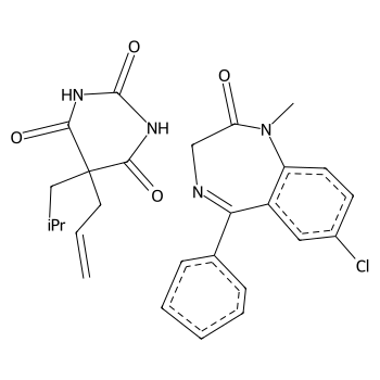 C=CCC1(CC(C)C)C(=O)NC(=O)NC1=O.CN1C(=O)CN=C(c2ccccc2)c2cc(Cl)ccc21